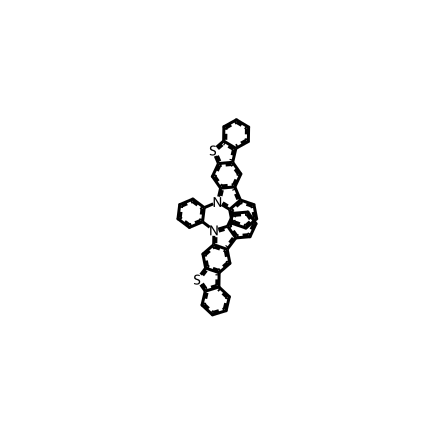 c1ccc(-n2c3ccccc3c3cc4c(cc32)sc2ccccc24)c(-n2c3ccccc3c3cc4c(cc32)sc2ccccc24)c1